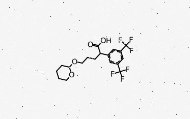 O=C(O)C(CCCOC1CCCCO1)c1cc(C(F)(F)F)cc(C(F)(F)F)c1